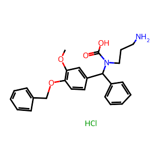 COc1cc(C(c2ccccc2)N(CCCN)C(=O)O)ccc1OCc1ccccc1.Cl